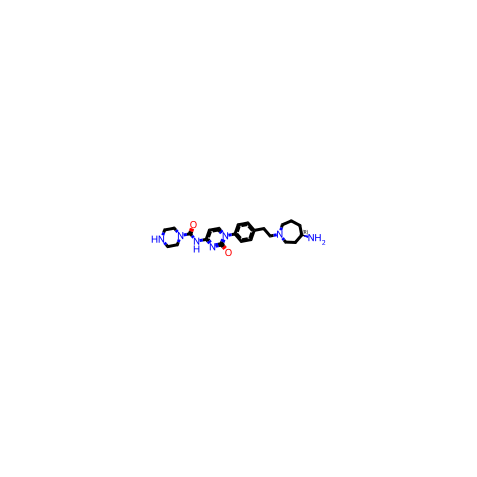 N[C@@H]1CCCN(CCc2ccc(-n3ccc(NC(=O)N4CCNCC4)nc3=O)cc2)CC1